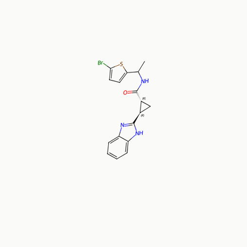 CC(NC(=O)[C@@H]1C[C@H]1c1nc2ccccc2[nH]1)c1ccc(Br)s1